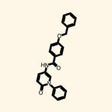 O=C(Nc1ccc(=O)n(-c2ccccc2)c1)c1ccc(OCc2ccccc2)cc1